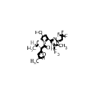 Cc1cc([C@@H](C(=O)N2C[C@H](O)C[C@H]2C2=NN(CC(F)(F)F)C(C)(C)N2)C(C)C)on1